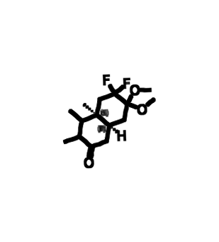 COC1(OC)C[C@H]2CC(=O)C(C)C(C)[C@@]2(C)CC1(F)F